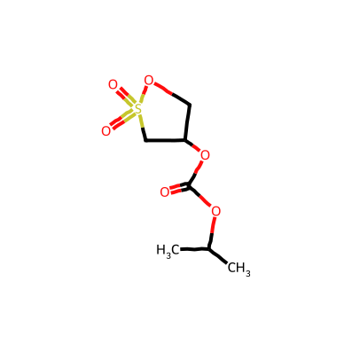 CC(C)OC(=O)OC1COS(=O)(=O)C1